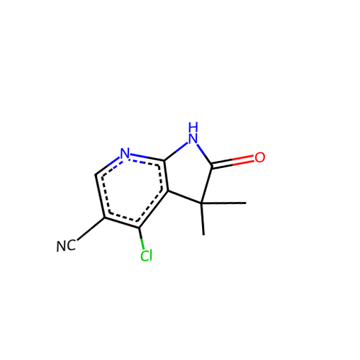 CC1(C)C(=O)Nc2ncc(C#N)c(Cl)c21